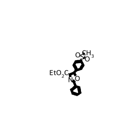 CCOC(=O)[C@H]1N=C(c2ccccc2)OC1c1ccc(S(C)(=O)=O)cc1